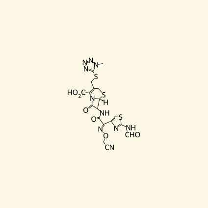 Cn1nnnc1SCC1=C(C(=O)O)N2C(=O)C(NC(=O)/C(=N/OCC#N)c3csc(NC=O)n3)[C@H]2SC1